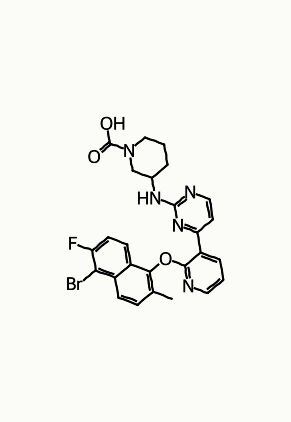 Cc1ccc2c(Br)c(F)ccc2c1Oc1ncccc1-c1ccnc(NC2CCCN(C(=O)O)C2)n1